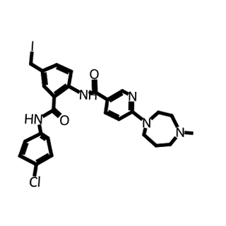 CN1CCCN(c2ccc(C(=O)Nc3ccc(CI)cc3C(=O)Nc3ccc(Cl)cc3)cn2)CC1